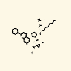 C=CCCCCCN(NC(=O)OC(C)(C)C)C(=O)[C@H]1C[C@H](Oc2cc(-c3ccccc3)nc3cc(OC)ccc23)C[C@H]1C(=O)N[C@]1(C(=O)OCC)C[C@H]1C=C